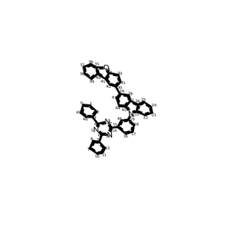 c1ccc(-c2nc(-c3ccccc3)nc(-c3cccc(-n4c5ccccc5c5cc(-c6ccc7oc8ccccc8c7c6)ccc54)c3)n2)cc1